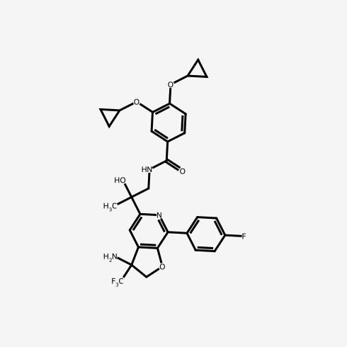 CC(O)(CNC(=O)c1ccc(OC2CC2)c(OC2CC2)c1)c1cc2c(c(-c3ccc(F)cc3)n1)OCC2(N)C(F)(F)F